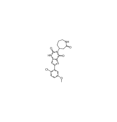 COc1ccc(Cl)c(-c2cc3[nH]c(=O)n(C4CCCNC(=O)C4)c(=O)c3s2)c1